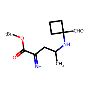 CC(CC(=N)C(=O)OC(C)(C)C)NC1(C=O)CCC1